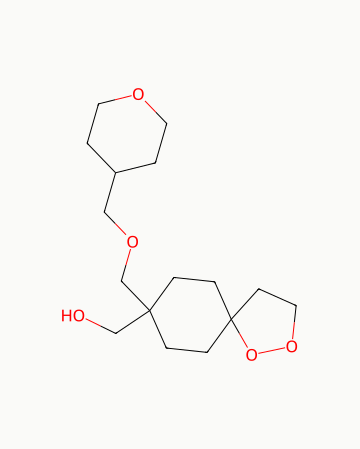 OCC1(COCC2CCOCC2)CCC2(CCOO2)CC1